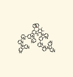 Cc1c(C)c(-c2ccccc2)c2c(sc3c2c(-c2ccccc2)cc2c4cc(-c5cccc(-c6cccc(-n7c8ccncc8c8cnccc87)n6)n5)cc5c6ncccc6n(c45)c23)c1-n1c2ccc(-c3cccc(-c4cccc(-n5c6ccncc6c6cnccc65)n4)n3)cc2c2ncccc21